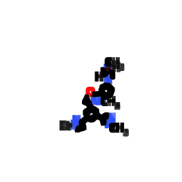 CCn1ccc(-c2cc(-c3cnn(C)c3)cc(C3(NC(=O)c4cc(N5C[C@H]6C[C@@H]5CN6C)ccc4C)CC3)c2)n1